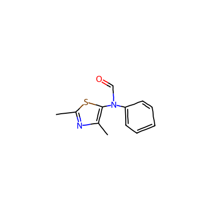 Cc1nc(C)c(N(C=O)c2ccccc2)s1